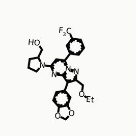 CCOCc1nn2c(-c3cccc(C(F)(F)F)c3)cc(N3CCCC3CO)nc2c1-c1ccc2c(c1)OCO2